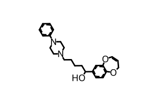 OC(CCCCN1CCN(c2ccccc2)CC1)c1ccc2c(c1)OC=CCO2